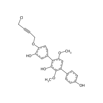 COc1cc(-c2ccc(O)cc2)c(OC)c(O)c1-c1ccc(OCC#CCCl)c(O)c1